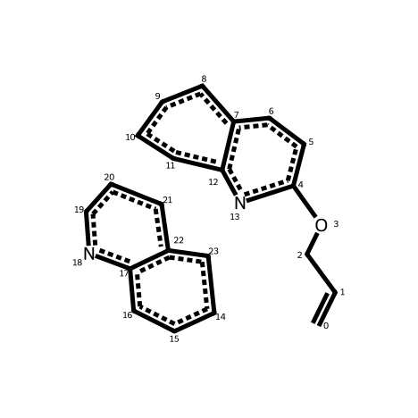 C=CCOc1ccc2ccccc2n1.c1ccc2ncccc2c1